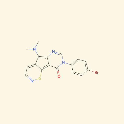 CN(C)c1c2ccnsc-2c2c(=O)n(-c3ccc(Br)cc3)cnc12